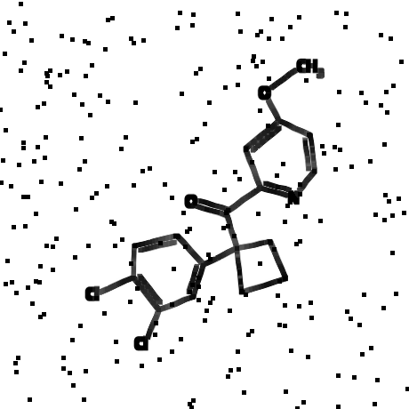 COc1ccnc(C(=O)C2(c3ccc(Cl)c(Cl)c3)CCC2)c1